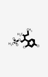 CCC(C)C(COS(C)(=O)=O)c1ccc(Cl)cc1Cl